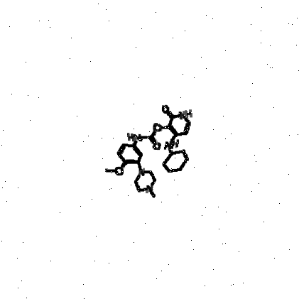 COc1ccc(NC(=O)Oc2c(NC3CCCCC3)cc[nH]c2=O)cc1N1CCN(C)CC1